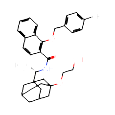 O=C(N[C@H](C(=O)O)C12CC3CC(CC(OCCO)(C3)C1)C2)c1ccc2ccccc2c1OCc1ccc(C(F)(F)F)cc1